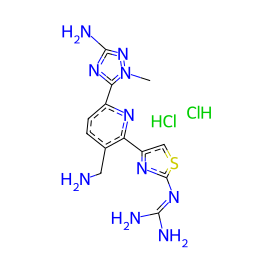 Cl.Cl.Cn1nc(N)nc1-c1ccc(CN)c(-c2csc(N=C(N)N)n2)n1